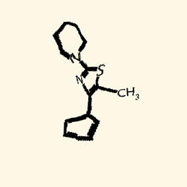 Cc1sc(N2CCCCC2)nc1-c1ccccc1